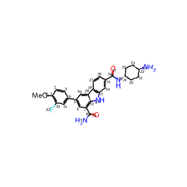 COc1ccc(-c2cc(C(N)=O)c3[nH]c4cc(C(=O)N[C@H]5CC[C@H](N)CC5)ccc4c3c2)cc1F